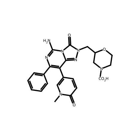 Cn1cc(-c2c(-c3ccccc3)nc(N)n3c(=O)n(CC4CN(C(=O)O)CCO4)nc23)ccc1=O